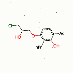 CCCc1c(OCC(O)CCl)ccc(C(C)=O)c1O